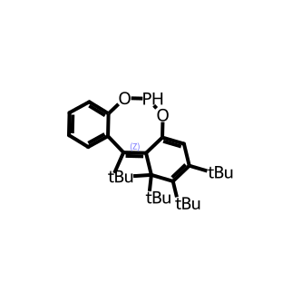 C/C1=C2/C(=CC(C(C)(C)C)=C(C(C)(C)C)C2(C(C)(C)C)C(C)(C)C)OPOc2ccccc21